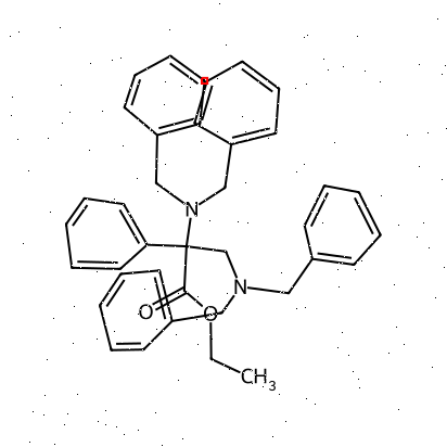 CCOC(=O)C(CN(Cc1ccccc1)Cc1ccccc1)(c1ccccc1)N(Cc1ccccc1)Cc1ccccc1